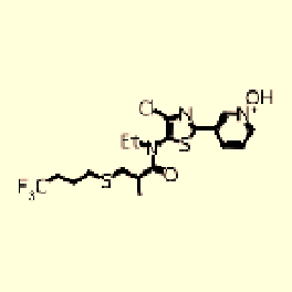 CCN(C(=O)C(C)CSCCCC(F)(F)F)c1sc(-c2ccc[n+](O)c2)nc1Cl